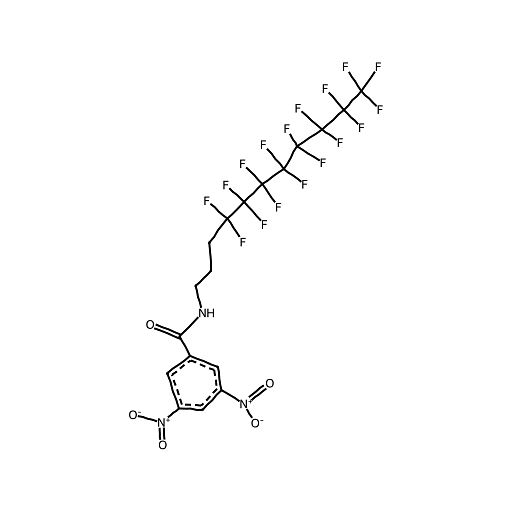 O=C(NCCCC(F)(F)C(F)(F)C(F)(F)C(F)(F)C(F)(F)C(F)(F)C(F)(F)C(F)(F)F)c1cc([N+](=O)[O-])cc([N+](=O)[O-])c1